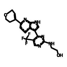 OCCNc1ncc(C(F)(F)F)c(-c2c[nH]c3nc(C4=CCOCC4)ccc23)n1